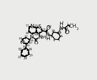 C=CC(=O)N[C@H]1CCCC(NC(=O)c2sc3nccc4c3c2NC(=O)N4c2ccnc(-c3ccccc3)c2)C1